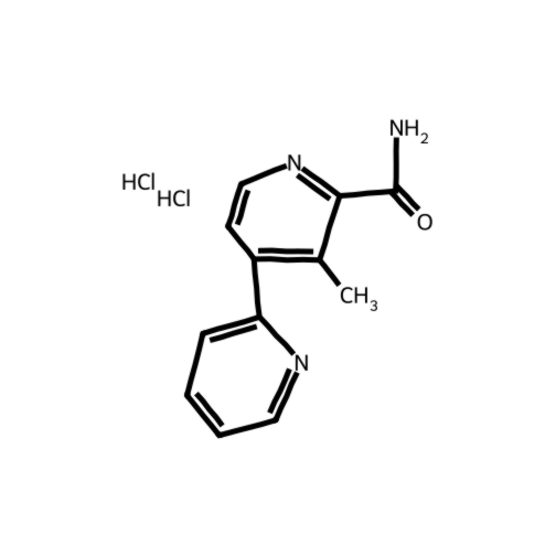 Cc1c(-c2ccccn2)ccnc1C(N)=O.Cl.Cl